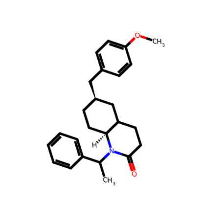 COc1ccc(C[C@@H]2CC[C@H]3C(CCC(=O)N3C(C)c3ccccc3)C2)cc1